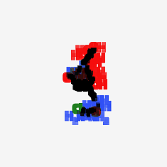 N=C(NCCCCc1ccc2cc(CC(NCCCN(CC(O)C(O)C(O)C(O)CO)CC(O)C(O)C(O)C(O)CO)C(N)=O)ccc2c1)NC(=O)c1nc(Cl)c(N)nc1N